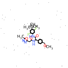 COCc1ccc([C@@H](NC(=O)Cc2nnc(C)o2)C(=O)Nc2cc(F)c([Si](C)(C)C)cc2F)cc1